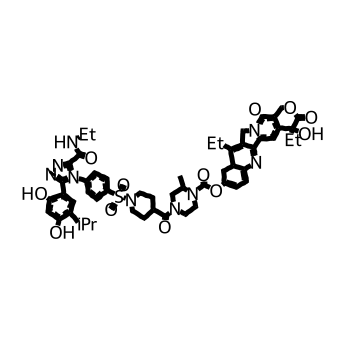 CCNC(=O)c1nnc(-c2cc(C(C)C)c(O)cc2O)n1-c1ccc(S(=O)(=O)N2CCC(C(=O)N3CCN(C(=O)OC4=CC=C5N=C6C(=C(CC)C5C4)Cn4c6cc5c(c4=O)COC(=O)C5(O)CC)C(C)C3)CC2)cc1